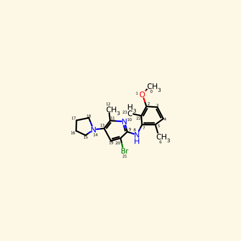 COc1ccc(C)c(Nc2nc(C)c(N3CCCC3)cc2Br)c1C